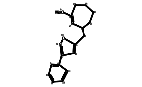 COC1=NC(Cc2cc(-c3ccccc3)no2)CCCC1